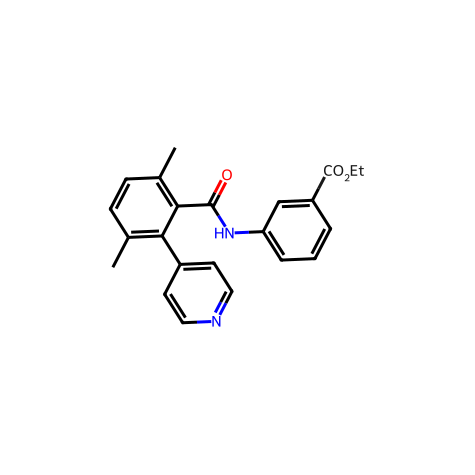 CCOC(=O)c1cccc(NC(=O)c2c(C)ccc(C)c2-c2ccncc2)c1